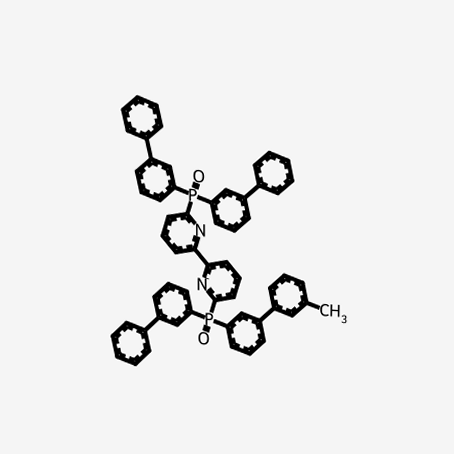 Cc1cccc(-c2cccc(P(=O)(c3cccc(-c4ccccc4)c3)c3cccc(-c4cccc(P(=O)(c5cccc(-c6ccccc6)c5)c5cccc(-c6ccccc6)c5)n4)n3)c2)c1